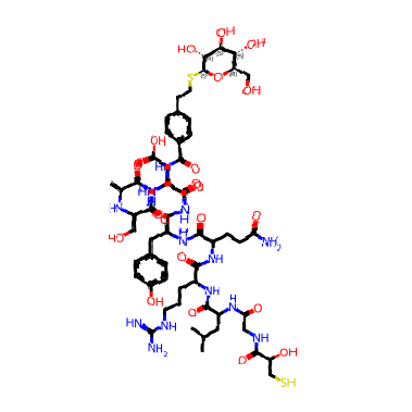 CC(C)CC(NC(=O)CNC(=O)C(O)CS)C(=O)NC(CCCNC(=N)N)C(=O)NC(CCC(N)=O)C(=O)NC(Cc1ccc(O)cc1)C(=O)NC(=O)C(CC(=O)O)NC(=O)C(CO)NC(C)C(=O)NC(C=O)NC(=O)c1ccc(CCS[C@@H]2O[C@H](CO)[C@@H](O)[C@H](O)[C@H]2O)cc1